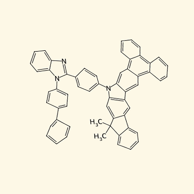 CC1(C)c2ccccc2-c2cc3c4cc5c6ccccc6c6ccccc6c5cc4n(-c4ccc(-c5nc6ccccc6n5-c5ccc(-c6ccccc6)cc5)cc4)c3cc21